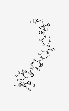 CCS(=O)(=O)NC(=O)C1CCC(C(=O)N2CCN(c3ccc(C(=O)Nc4cccc(C(C)(C)C)c4)cn3)CC2)CC1